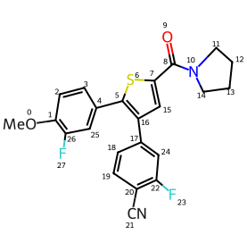 COc1ccc(-c2sc(C(=O)N3CCCC3)cc2-c2ccc(C#N)c(F)c2)cc1F